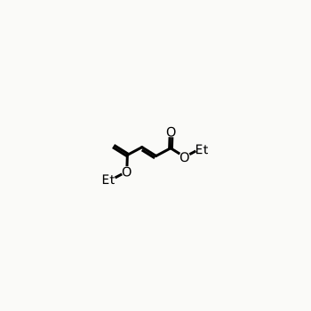 C=C(/C=C/C(=O)OCC)OCC